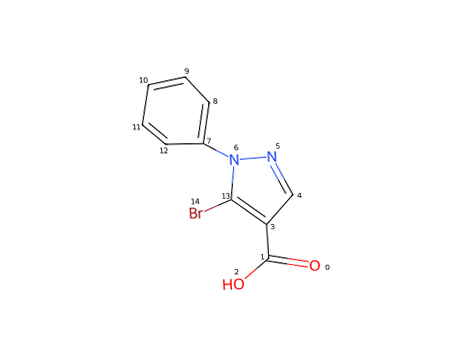 O=C(O)c1cnn(-c2ccccc2)c1Br